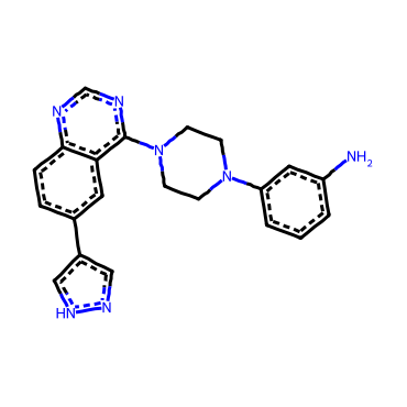 Nc1cccc(N2CCN(c3ncnc4ccc(-c5cn[nH]c5)cc34)CC2)c1